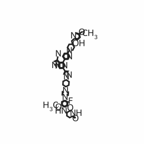 COc1ccc(CC2(O)CCN(c3ccc(-c4nc(-c5cnn([C@H]6CC[C@H](N7CCN(c8cc(OC)c(NC9CCC(=O)NC9=O)cc8F)CC7)CC6)c5)cn5ncc(C#N)c45)cn3)CC2)nc1